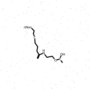 C=C(CCCCCCCCCCCCCCC)NCCOP(C)O